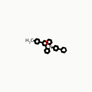 Cc1ccc(-c2cccc(-c3ccccc3N(c3ccccc3)c3ccc(C4=CCCC=C4)cc3)c2)cc1